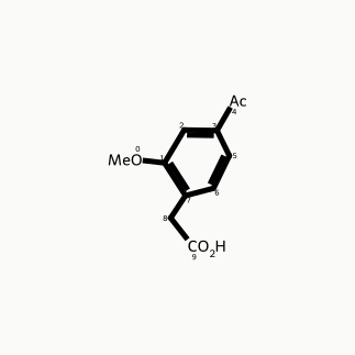 COc1cc(C(C)=O)ccc1CC(=O)O